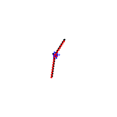 CCCCCCCCCCCCCCCCC[n+]1ccn(CCCCCCCCCCCCCC)c1CC